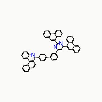 c1cc(-c2ccc(-c3nc4ccccc4c4c3ccc3ccccc34)cc2)cc(-c2cc(-c3cc4ccccc4c4ccccc34)nc(-c3cc4ccccc4c4ccccc34)n2)c1